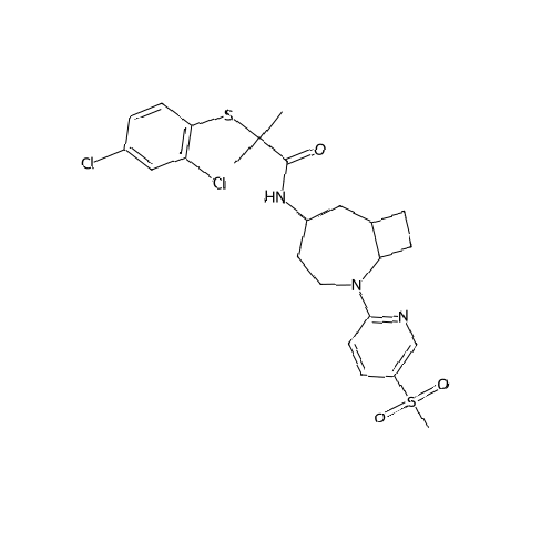 CC(C)(Sc1ccc(Cl)cc1Cl)C(=O)NC1CCN(c2ccc(S(C)(=O)=O)cn2)C2CCC2C1